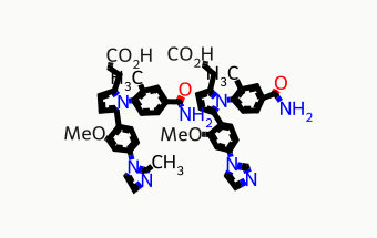 COc1cc(-n2ccnc2)ccc1-c1ccc(CCC(=O)O)n1-c1ccc(C(N)=O)cc1C.COc1cc(-n2ccnc2C)ccc1-c1ccc(CCC(=O)O)n1-c1ccc(C(N)=O)cc1C